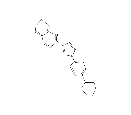 c1ccc2nc(-c3cnn(-c4ccc(C5CCCCC5)cc4)c3)ccc2c1